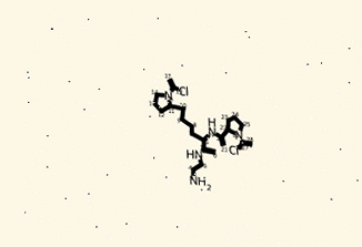 C=C(NCCN)C(CCCCC1CCCN1C(=C)Cl)NC(=C)C1CCCN1C(=C)Cl